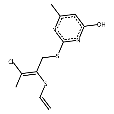 C=CS/C(CSc1nc(C)cc(O)n1)=C(\C)Cl